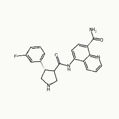 NC(=O)c1ccc(NC(=O)C2CNC[C@@H]2c2cccc(F)c2)c2cccnc12